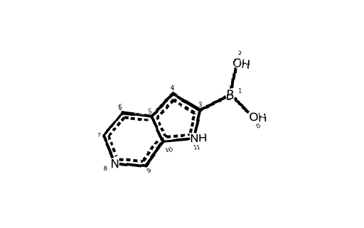 OB(O)c1cc2ccncc2[nH]1